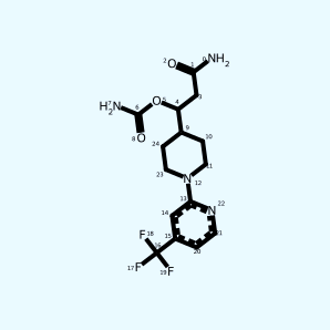 NC(=O)CC(OC(N)=O)C1CCN(c2cc(C(F)(F)F)ccn2)CC1